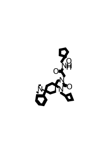 CN(C)[C@]1(c2ccccc2)CC[C@@]2(CC1)CN(CC(=O)NCC1(O)CCCC1)C(=O)N2CC1CCC1